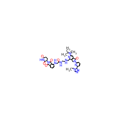 CCn1cnnc1-c1cccc(N2Cc3c(cc(N(C)C(C)C)nc3CNCCNC(=O)CNc3cccc4c3C(=O)N(C3CCC(=O)NC3=O)C4=O)C2=O)n1